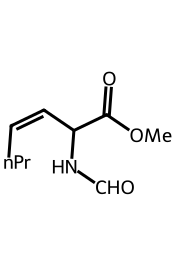 CCC/C=C\C(NC=O)C(=O)OC